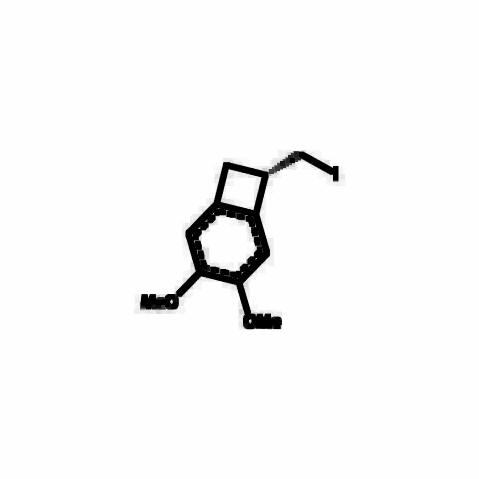 COc1cc2c(cc1OC)[C@@H](CI)C2